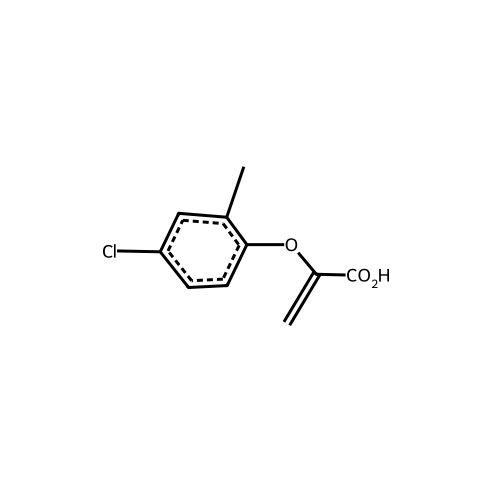 C=C(Oc1ccc(Cl)cc1C)C(=O)O